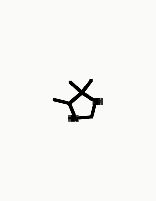 CC1NCNC1(C)C